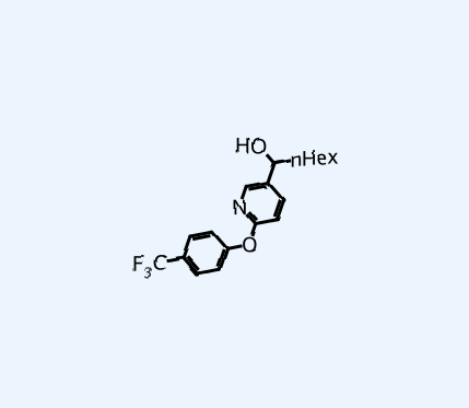 CCCCCCC(O)c1ccc(Oc2ccc(C(F)(F)F)cc2)nc1